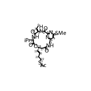 C/C=C1\NC(=O)c2nc(cc(SC)n2)CNC(=O)C[C@@H](/C=C/CCSC(C)=O)OC(=O)[C@H](C(C)C)NC1=O